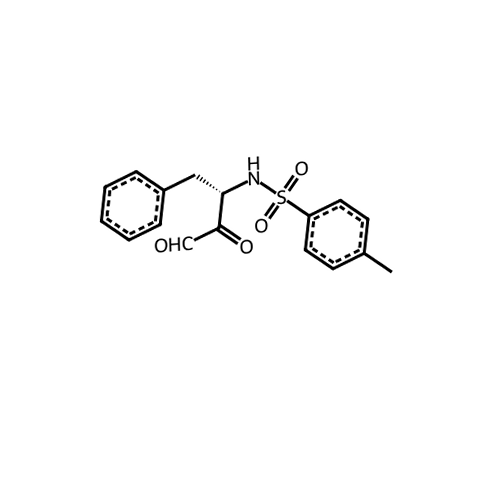 Cc1ccc(S(=O)(=O)N[C@@H](Cc2ccccc2)C(=O)C=O)cc1